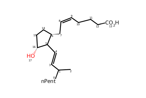 CCCCCC(C)/C=C/C1[C@@H](C/C=C\CCCC(=O)O)CC[C@H]1O